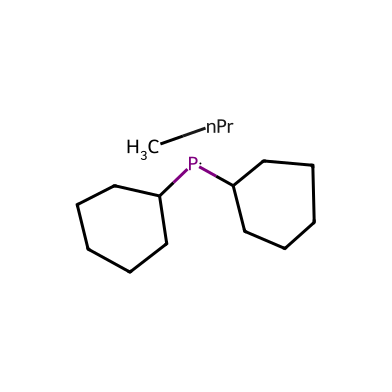 C1CCC([P]C2CCCCC2)CC1.CCCC